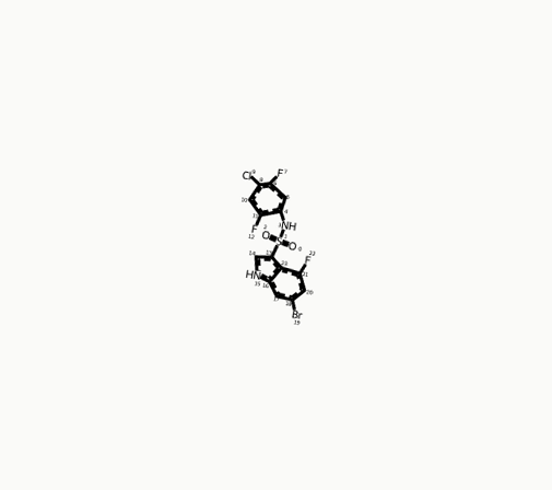 O=S(=O)(Nc1cc(F)c(Cl)cc1F)c1c[nH]c2cc(Br)cc(F)c12